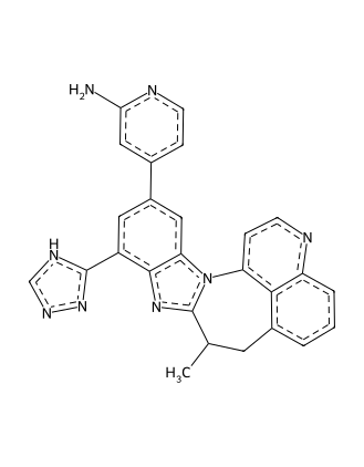 CC1Cc2cccc3nccc(c23)-n2c1nc1c(-c3nnc[nH]3)cc(-c3ccnc(N)c3)cc12